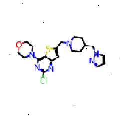 Clc1nc(N2CCOCC2)c2sc(CN3CCC(Cn4cccn4)CC3)cc2n1